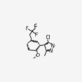 COc1ccc(CC(F)(F)F)cc1C1=C(Cl)[N]N=C1C